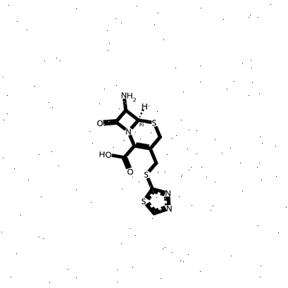 NC1C(=O)N2C(C(=O)O)=C(CSc3nncs3)CS[C@H]12